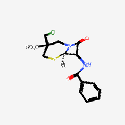 O=C(NC1C(=O)N2CC(CCl)(C(=O)O)CS[C@H]12)c1ccccc1